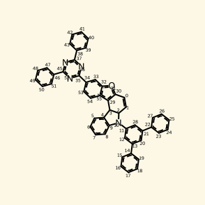 C1=CC2C(c3ccccc3N2c2cc(-c3ccccc3)cc(-c3ccccc3)c2)c2c1oc1cc(-c3nc(-c4ccccc4)nc(-c4ccccc4)n3)ccc21